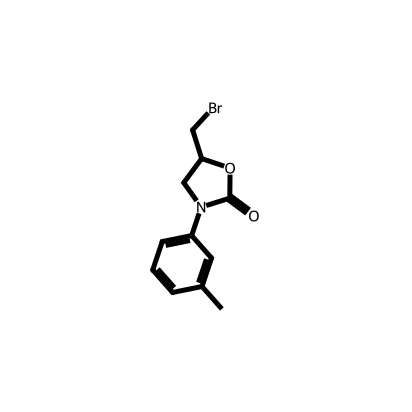 Cc1cccc(N2CC(CBr)OC2=O)c1